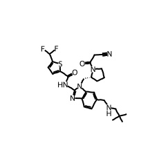 CC(C)(C)CNCc1ccc2nc(NC(=O)c3ccc(C(F)F)s3)n(C[C@H]3CCCN3C(=O)CC#N)c2c1